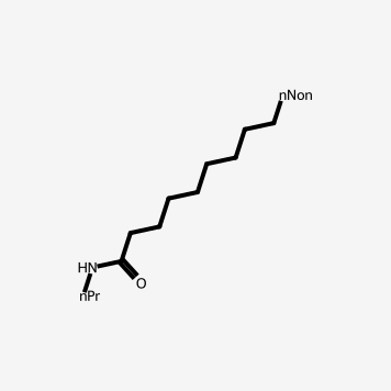 CCCCCCCCCCCCCCCCCC(=O)NCCC